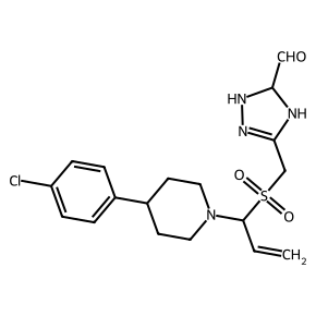 C=CC(N1CCC(c2ccc(Cl)cc2)CC1)S(=O)(=O)CC1=NNC(C=O)N1